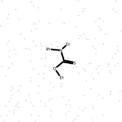 CCOC(=S)N(CC)C(C)C